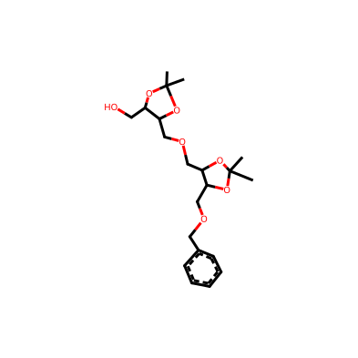 CC1(C)OC(CO)C(COCC2OC(C)(C)OC2COCc2ccccc2)O1